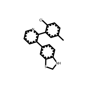 Cc1ccc(Cl)c(-c2ncccc2-c2ccc3c(c2)SCN3)c1